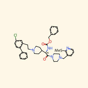 CSc1ncccc1CN1CCN(C(=O)[C@H](NC(=O)OCc2ccccc2)C2CCN(CCc3cc(Cl)ccc3-c3ccccc3)CC2)CC1